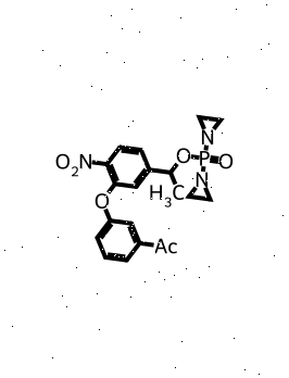 CC(=O)c1cccc(Oc2cc(C(C)OP(=O)(N3CC3)N3CC3)ccc2[N+](=O)[O-])c1